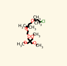 COCC(COC)(COC)COCCOC(C)(C)CCOC(C)(C)CCCl